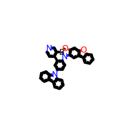 c1ccc2c(c1)oc1cc3c(cc12)N1B(O3)c2cnccc2-c2cc(-n3c4ccccc4c4ccccc43)ccc21